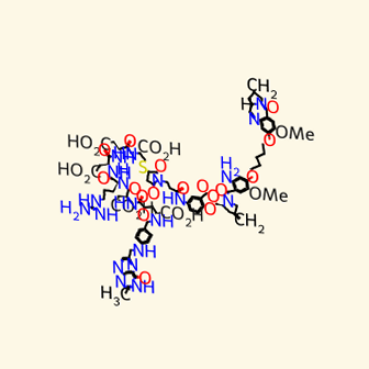 C=C1C[C@H]2C=Nc3cc(OCCCCCOc4cc(N)c(C(=O)N5CC(=C)C[C@H]5C5OC(=O)c6cc(NC(=O)CCN7C(=O)CC(SC[C@H](NC(=O)[C@H](CC(=O)O)NC(=O)[C@H](CC(=O)O)NC(=O)[C@H](CCCNC(=N)N)NC(=O)[C@H](CC(=O)O)NC(=O)CC[C@H](NC(=O)c8ccc(NCc9cnc%10nc(C)[nH]c(=O)c%10n9)cc8)C(=O)O)C(=O)O)C7=O)ccc6O5)cc4OC)c(OC)cc3C(=O)N2C1